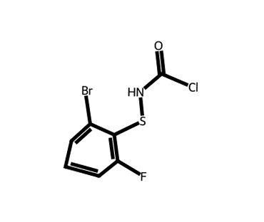 O=C(Cl)NSc1c(F)cccc1Br